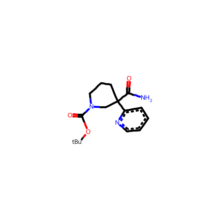 CC(C)(C)OC(=O)N1CCCC(C(N)=O)(c2ccccn2)C1